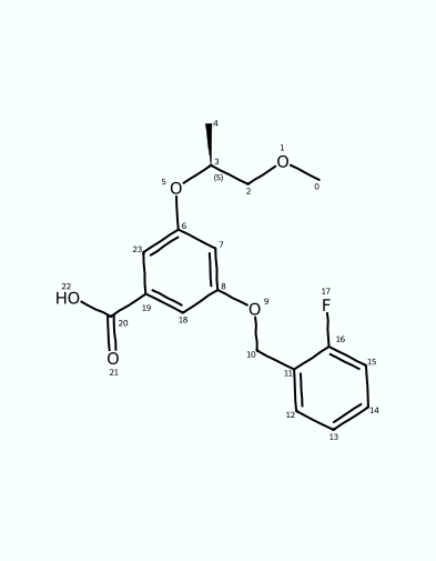 COC[C@H](C)Oc1cc(OCc2ccccc2F)cc(C(=O)O)c1